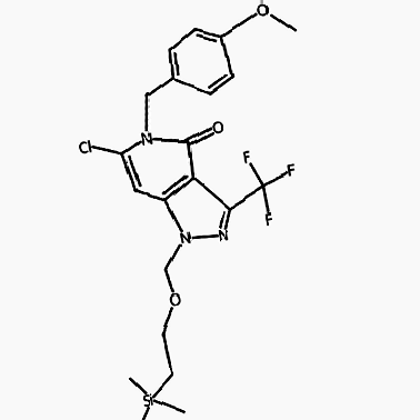 COc1ccc(Cn2c(Cl)cc3c(c(C(F)(F)F)nn3COCC[Si](C)(C)C)c2=O)cc1